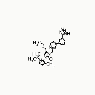 CCCCc1cn(-c2c(C)ccn2C(C)C)c(=O)n1Cc1cc(-c2cccc(-c3nnn[nH]3)c2)ccn1